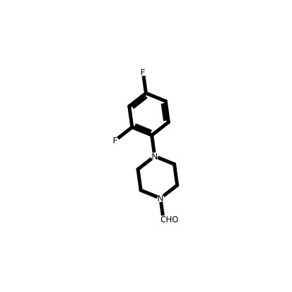 O=CN1CCN(c2ccc(F)cc2F)CC1